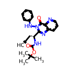 C#CC[C@@H](NC(=O)OC(C)(C)C)c1nc2cccnc2c(=O)n1Nc1ccccc1